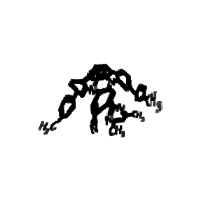 Cc1ccc(-c2ccc3c4ccccc4n(-c4cc(C#N)c(-c5nc(C)cc(C)n5)cc4-n4c5ccccc5c5ccc(-c6ccc(C)cc6)cc54)c3c2)cc1